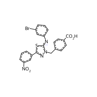 O=C(O)c1ccc(Cn2nc(-c3cccc([N+](=O)[O-])c3)s/c2=N\c2cccc(Br)c2)cc1